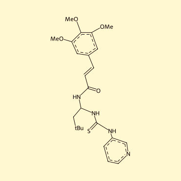 COc1cc(C=CC(=O)NC(CC(C)(C)C)NC(=S)Nc2cccnc2)cc(OC)c1OC